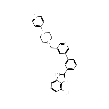 Clc1cccc2[nH]c(-c3cccc(-c4cncc(CN5CCN(c6ccncc6)CC5)c4)c3)nc12